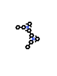 Cc1cc(-c2ccc(N(c3ccc(-c4ccccc4)cc3)c3c(C)cccc3C)c(C)c2)ccc1N(c1ccc(-c2ccccc2)cc1)c1c(C)cccc1C